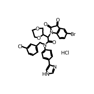 Cl.O=C1C(=O)N(C(C(=O)N(Cc2cccc(Cl)c2)c2ccc(-c3c[nH]cn3)cc2)C2COCCO2)c2ccc(Br)cc21